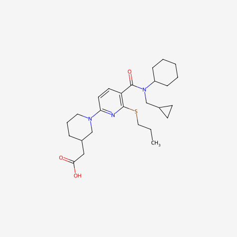 CCCSc1nc(N2CCCC(CC(=O)O)C2)ccc1C(=O)N(CC1CC1)C1CCCCC1